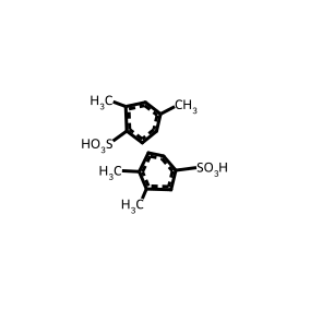 Cc1ccc(S(=O)(=O)O)c(C)c1.Cc1ccc(S(=O)(=O)O)cc1C